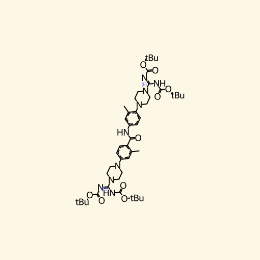 Cc1cc(N2CCN(/C(=N/C(=O)OC(C)(C)C)NC(=O)OC(C)(C)C)CC2)ccc1C(=O)Nc1ccc(N2CCN(/C(=N/C(=O)OC(C)(C)C)NC(=O)OC(C)(C)C)CC2)c(C)c1